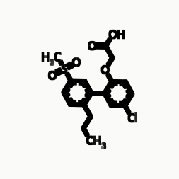 CCCc1ccc(S(C)(=O)=O)cc1-c1cc(Cl)ccc1OCC(=O)O